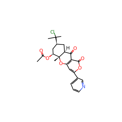 CC(=O)O[C@H]1C[C@@H](C(C)(C)Cl)C[C@H]2C(=O)c3c(cc(-c4cccnc4)oc3=O)O[C@]12C